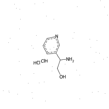 Cl.Cl.NC(CO)c1cccnc1